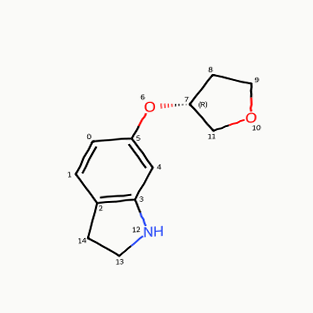 c1cc2c(cc1O[C@@H]1CCOC1)NCC2